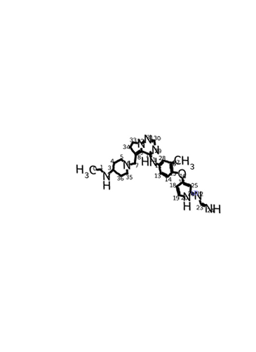 CCNC1CCN(CC2=C3C(Nc4ccc(Oc5cc[nH]/c(=N\C=N)c5)c(C)c4)=NC=NN3CC2)CC1